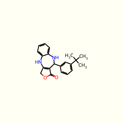 CC(C)(C)c1cccc(C2Nc3ccccc3NC3=C2C(=O)OC3)c1